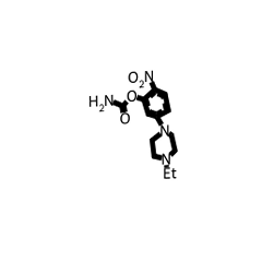 CCN1CCN(c2ccc([N+](=O)[O-])c(OC(N)=O)c2)CC1